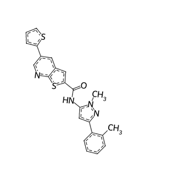 Cc1ccccc1-c1cc(NC(=O)c2cc3cc(-c4cccs4)cnc3s2)n(C)n1